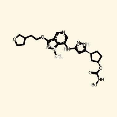 CCC(C)NC(=O)O[C@@H]1CC[C@H](c2cc(Nc3cncc4c(OCCC5CCOC5)nn(C)c34)n[nH]2)C1